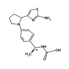 C[C@H](NC(=O)O)c1ccc(N2CCCC2c2csc(N)n2)cc1